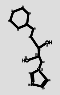 OC(CCC1CCCCC1)C(O)Cn1ccnc1